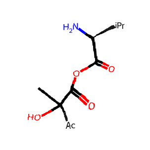 CC(=O)C(C)(O)C(=O)OC(=O)[C@@H](N)C(C)C